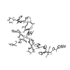 COCOCC(C)(C)C(=O)OCOc1nc(C(Nc2ccc(C(N)=NC(=O)c3ccccc3)cc2)c2cc(OC)cc(OCCO)c2F)nn1-c1ncccn1